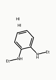 CCNc1ccccc1NCC.I.I